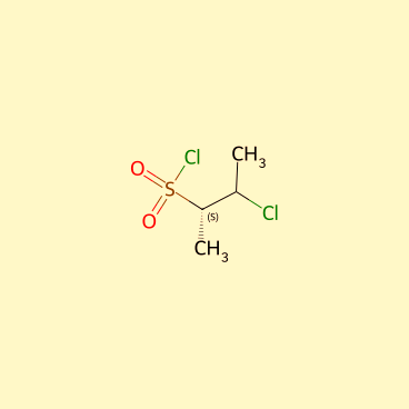 CC(Cl)[C@H](C)S(=O)(=O)Cl